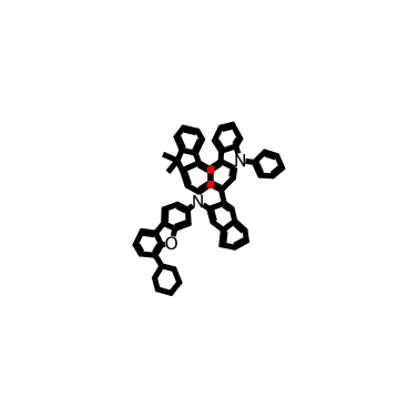 CC1(C)c2ccccc2-c2ccc(N(c3ccc4c(c3)oc3c(C5CCCCC5)cccc34)c3cc4ccccc4cc3-c3ccc4c5ccccc5n(-c5ccccc5)c4c3)cc21